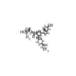 CC(C)(O)[C@H](F)CNC(=O)c1cnc(-c2ccc3cc(C#N)cnn23)cc1N[C@H]1CC[C@H](NCC(F)(F)F)CC1